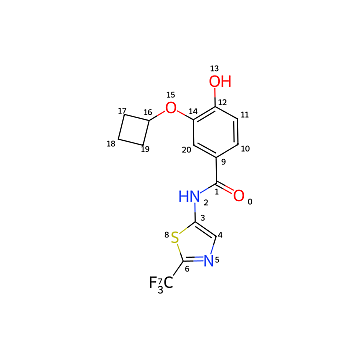 O=C(Nc1cnc(C(F)(F)F)s1)c1ccc(O)c(OC2CCC2)c1